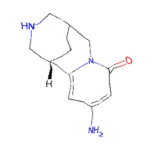 Nc1cc2n(c(=O)c1)CC1CNC[C@@H]2C1